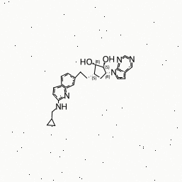 O[C@@H]1[C@@H](CCc2ccc3ccc(NCC4CC4)nc3c2)C[C@@H](n2ccc3cncnc32)[C@@H]1O